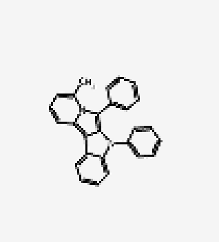 Cc1cccc2c3c4ccccc4n(-c4ccccc4)c3c(-c3ccccc3)n12